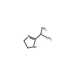 CC(N)C1=NCCN1